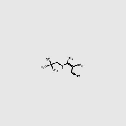 C/C(NCC(C)(C)C#N)=C(\N)C=N